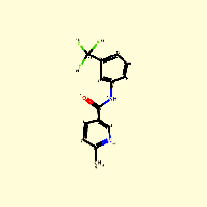 Cc1ccc(C(=O)Nc2cccc(C(F)(F)F)c2)cn1